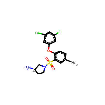 N[C@@H]1CCN(S(=O)(=O)c2cc([N+](=O)[O-])ccc2Oc2cc(Cl)cc(Cl)c2)C1